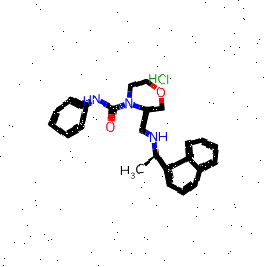 C[C@@H](NCC1COCCN1C(=O)Nc1ccccc1)c1cccc2ccccc12.Cl